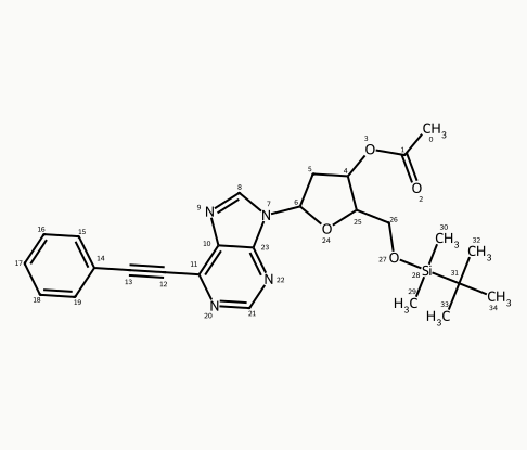 CC(=O)OC1CC(n2cnc3c(C#Cc4ccccc4)ncnc32)OC1CO[Si](C)(C)C(C)(C)C